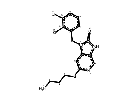 NCCCNc1cc2c(cn1)[nH]c(=O)n2Cc1cccc(Cl)c1Cl